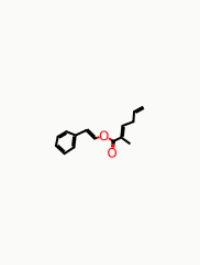 C=CCC=C(C)C(=O)OC=Cc1ccccc1